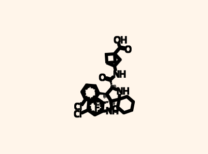 O=C(NC1CC2(C(=O)O)CC1C2)[C@@H]1NC2(CCCCC2)[C@@]2(C(=O)Nc3cc(Cl)ccc32)[C@H]1c1cccc(Cl)c1F